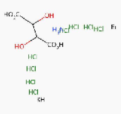 Cl.Cl.Cl.Cl.Cl.Cl.Cl.Cl.N.O=C(O)C(O)C(O)C(=O)O.[Er].[KH]